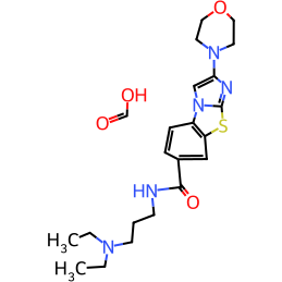 CCN(CC)CCCNC(=O)c1ccc2c(c1)sc1nc(N3CCOCC3)cn12.O=CO